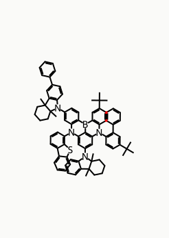 CC(C)(C)c1ccc2c(c1)B1c3ccc(N4c5ccc(-c6ccccc6)cc5C5(C)CCCCC45C)cc3N(c3cccc4c3sc3ccccc34)c3cc(N4c5ccccc5C5(C)CCCCC45C)cc(c31)N2c1ccc(C(C)(C)C)cc1-c1ccccc1